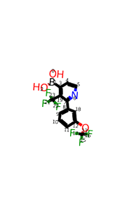 OB(O)c1ccnc(-c2cccc(OC(F)(F)F)c2)c1C(F)(F)F